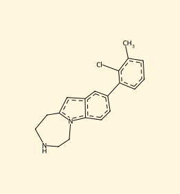 Cc1cccc(-c2ccc3c(c2)cc2n3CCNCC2)c1Cl